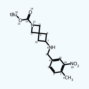 Cc1ccc(CNC2CC3(C2)CN(C(=O)OC(C)(C)C)C3)cc1[N+](=O)[O-]